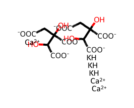 O=C([O-])CC(O)(C(=O)[O-])C(O)C(=O)[O-].O=C([O-])CC(O)(C(=O)[O-])C(O)C(=O)[O-].[Ca+2].[Ca+2].[Ca+2].[KH].[KH].[KH]